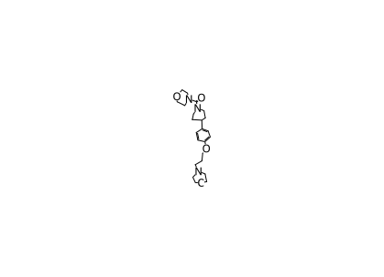 O=C(N1CCOCC1)N1CCC(c2ccc(OCCCN3CCCCC3)cc2)CC1